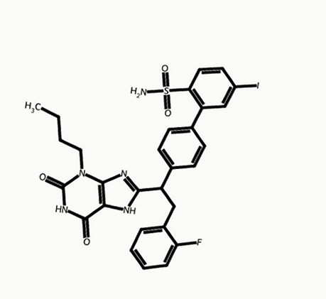 CCCCn1c(=O)[nH]c(=O)c2[nH]c(C(Cc3ccccc3F)c3ccc(-c4cc(I)ccc4S(N)(=O)=O)cc3)nc21